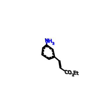 CCOC(=O)C=Cc1cccc(N)c1